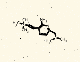 CN(C)Cc1ccc(C#C[Si](C)(C)C)c(N)n1